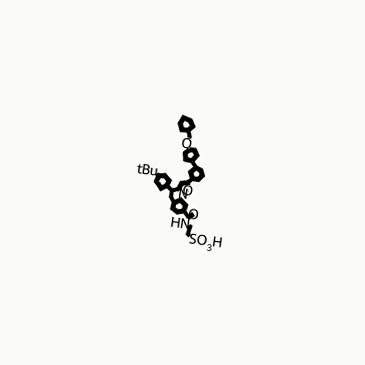 CC(C)(C)c1ccc(C(Cc2ccc(C(=O)NCCS(=O)(=O)O)cc2)c2cc(-c3cccc(-c4ccc(OCc5ccccc5)cc4)c3)on2)cc1